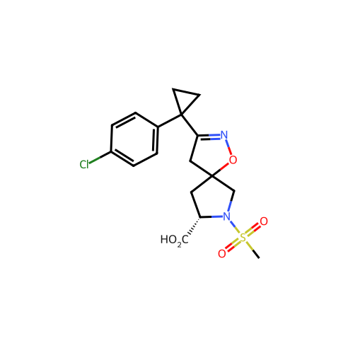 CS(=O)(=O)N1CC2(CC(C3(c4ccc(Cl)cc4)CC3)=NO2)C[C@H]1C(=O)O